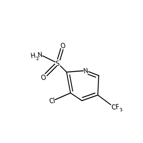 NS(=O)(=O)c1ncc(C(F)(F)F)cc1Cl